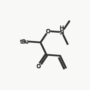 C=CC(=O)C(O[SiH](C)C)C(C)(C)C